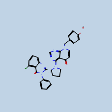 COc1ccc(Cn2ccc(=O)c3c(N4CCC[C@H]4c4nc5cccc(Cl)c5c(=O)n4-c4ccccc4)ncnc32)cc1